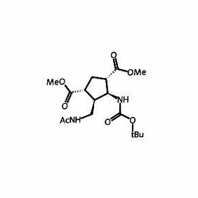 COC(=O)[C@H]1C[C@@H](C(=O)OC)[C@H](CNC(C)=O)[C@@H]1NC(=O)OC(C)(C)C